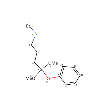 CCNCCC[Si](OC)(OC)Oc1ccccc1